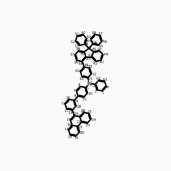 c1ccc(N(c2ccc(-c3cccc(-c4cc5ccccc5c5ccccc45)c3)cc2)c2ccc(-c3cccc4c3-c3ccccc3C4(c3ccccc3)c3ccccc3)cc2)cc1